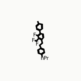 CCCc1ccc(CCc2ccc(-c3ccc(C)cc3)c(F)c2C(F)F)cc1